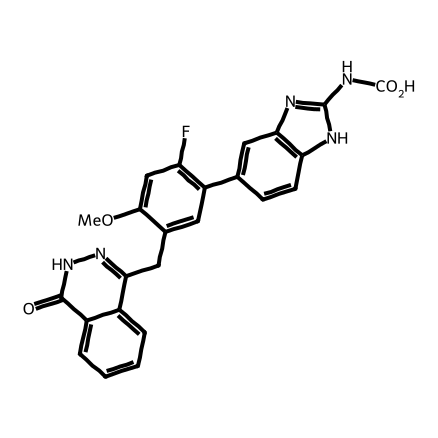 COc1cc(F)c(-c2ccc3[nH]c(NC(=O)O)nc3c2)cc1Cc1n[nH]c(=O)c2ccccc12